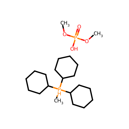 COP(=O)(O)OC.C[PH](C1CCCCC1)(C1CCCCC1)C1CCCCC1